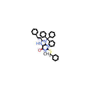 Cn1c(SCc2ccccc2)nc2c(c1=O)NC(/C=C/c1ccccc1)N2C(c1ccccc1)(c1ccccc1)c1ccccc1